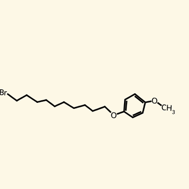 COc1ccc(OCCCCCCCCCCBr)cc1